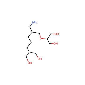 NCC(CCCC(CO)CO)COC(CO)CO